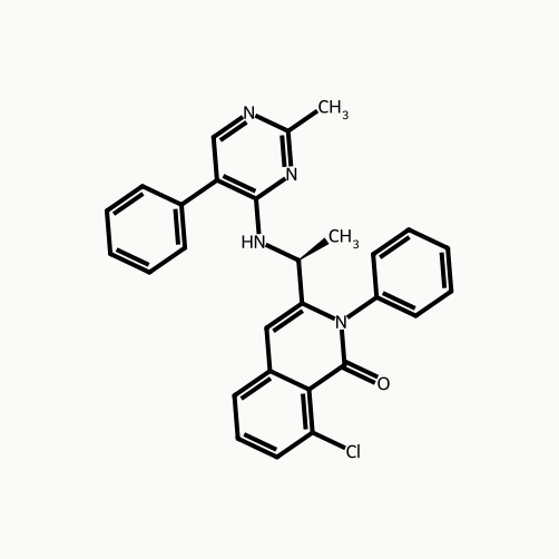 Cc1ncc(-c2ccccc2)c(N[C@@H](C)c2cc3cccc(Cl)c3c(=O)n2-c2ccccc2)n1